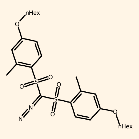 CCCCCCOc1ccc(S(=O)(=O)C(=[N+]=[N-])S(=O)(=O)c2ccc(OCCCCCC)cc2C)c(C)c1